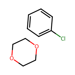 C1COCCO1.Clc1ccccc1